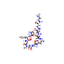 CCCCCCCCC(NC(=O)C1CCCN1C)C(=O)NCC(=O)N(C(C)C)C(C)(C)C(=O)NCC(=O)NC(CC(C)C)C(=O)NC(C)(C)C(=O)NC(C)(C)C(=O)NCCC(=O)NCCN(C)C